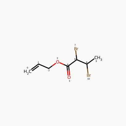 C=CCOC(=O)C(Br)C(C)Br